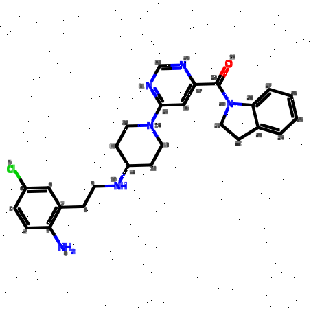 Nc1ccc(Cl)cc1CCNC1CCN(c2cc(C(=O)N3CCc4ccccc43)ncn2)CC1